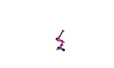 C=C[C@@H]1C[C@@]1(NC(=O)[C@@H]1C[C@@H](Oc2cc(-c3ccccc3)nc3cc(OC)ccc23)CN1)C(=O)NS(=O)(=O)c1ccccc1NC(=O)CCCCCCCCC(=O)O